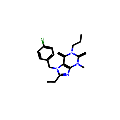 C=C1c2c(nc(CC)n2Cc2ccc(Cl)cc2)N(C)C(=C)N1CCC